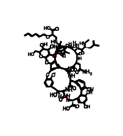 CCCCCCOC(CNC1(C)CC(OC2C(Oc3c4cc5cc3Oc3ccc(cc3Cl)[C@@H](O)[C@@H]3NC(=O)C(NC(=O)[C@@H]5NC(=O)C(CC(N)=O)NC(=O)C(NC(=O)[C@@H](CC(C)C)NC)[C@H](O)c5ccc(c(Cl)c5)O4)c4ccc(O)c(c4)-c4c(O)cc(O)cc4[C@H](C(=O)O)NC3=O)OC(CO)C(O)C2O)OC(C)C1O)C(=O)O